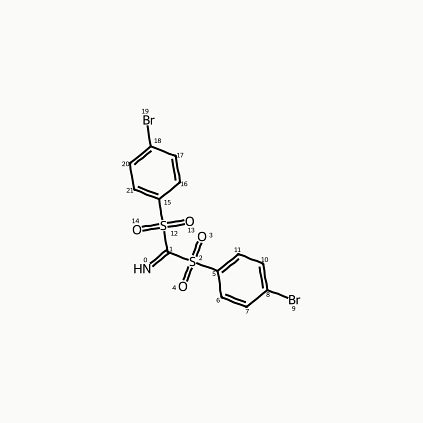 N=C(S(=O)(=O)c1ccc(Br)cc1)S(=O)(=O)c1ccc(Br)cc1